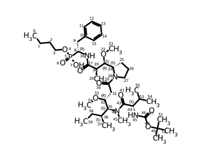 CCCCOP(=O)(O)[C@H](Cc1ccccc1)NC(=O)[C@H](C)[C@@H](OC)[C@@H]1CCCN1C(=O)C[C@@H](OC)[C@H]([C@@H](C)CC)N(C)C(=O)[C@@H](NC(=O)OC(C)(C)C)C(C)C